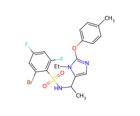 CCn1c(C(C)NS(=O)(=O)c2c(F)cc(F)cc2Br)cnc1Oc1ccc(C)cc1